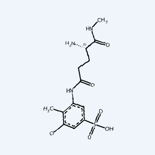 CNC(=O)[C@@H](N)CCC(=O)Nc1cc(S(=O)(=O)O)cc(Cl)c1C